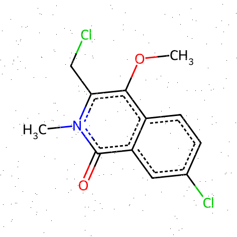 COc1c(CCl)n(C)c(=O)c2cc(Cl)ccc12